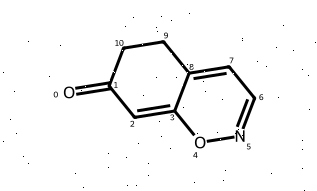 O=C1C=C2ON=CC=C2CC1